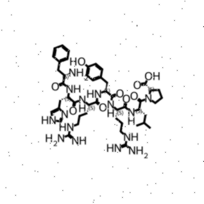 CC(C)C[C@H](NC(=O)[C@H](CCCNC(=N)N)NC(=O)[C@H](Cc1ccc(O)cc1)NC(=O)[C@H](CCCNC(=N)N)NC(=O)[C@H](Cc1c[nH]cn1)NC(=O)[C@@H](N)Cc1ccccc1)C(=O)N1CCC[C@H]1C(=O)O